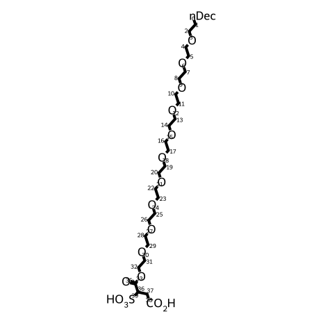 CCCCCCCCCCCCOCCOCCOCCOCCOCCOCCOCCOCCOCCOCCOC(=O)C(CC(=O)O)S(=O)(=O)O